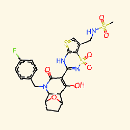 CS(=O)(=O)NCc1csc2c1S(=O)(=O)N=C(C1=C(O)C3C4CCC(O4)C3N(Cc3ccc(F)cc3)C1=O)N2